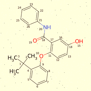 CC(C)(C)c1ccccc1Oc1ccc(O)cc1C(=O)Nc1ccccc1